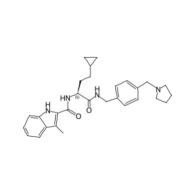 Cc1c(C(=O)N[C@@H](CCC2CC2)C(=O)NCc2ccc(CN3CCCC3)cc2)[nH]c2ccccc12